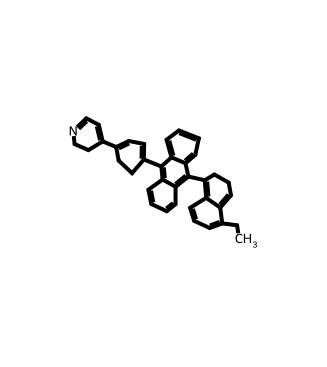 CCc1cccc2c1=CCCC=2c1c2ccccc2c(C2=CC=C(C3=CC=NCC3)CC2)c2ccccc12